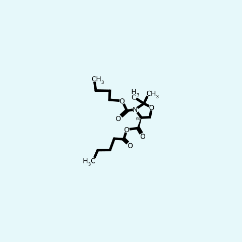 CCCCOC(=O)N1[C@H](C(=O)OC(=O)CCCC)COC1(C)C